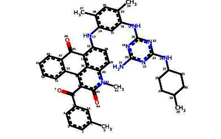 Cc1cccc(C(=O)c2c3c4c(c(Nc5cc(Nc6nc(N)nc(NC7CCC(C)CC7)n6)c(C)cc5C)ccc4n(C)c2=O)C(=O)c2ccccc2-3)c1